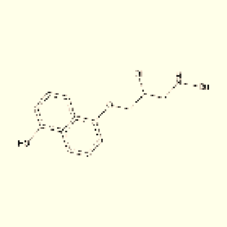 CCC(C)NCC(O)COc1cccc2c(O)cccc12